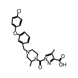 Cc1cn(C(=O)N2CCN(Cc3cccc(Oc4ccc(Cl)cc4)c3)CC2C)nc1C(=O)O